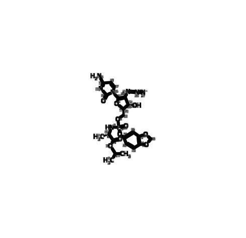 CC(C)OC(=O)[C@H](C)NP(=O)(OC[C@H]1OC(n2ccc(N)nc2=O)=C(N=[N+]=[N-])[C@@H]1O)Oc1ccc2c(c1)OCO2